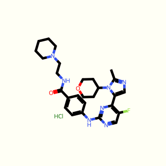 Cc1ncc(-c2nc(Nc3ccc(C(=O)NCCN4CCCCC4)cc3)ncc2F)n1C1CCOCC1.Cl